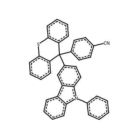 N#Cc1ccc(C2(c3ccc4c(c3)c3ccccc3n4-c3ccccc3)c3ccccc3Sc3ccccc32)cc1